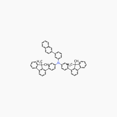 CC1(C)c2ccccc2-c2cccc(-c3ccc(N(c4ccc(-c5cccc6c5C(C)(C)c5ccccc5-6)cc4)c4cccc(-c5ccc6ccccc6c5)c4)cc3)c21